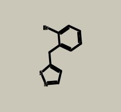 Brc1ccccc1Cc1ccns1